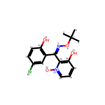 CC(C)(C)ON=C(c1cc(Br)ccc1O)c1c(O)ccc[n+]1[O-]